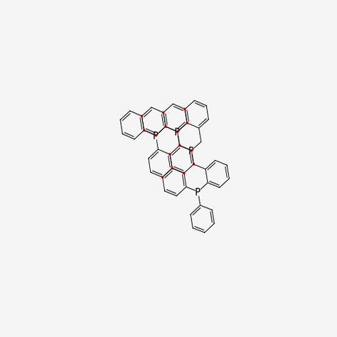 c1ccc(P(c2ccccc2)c2ccccc2CP(Cc2ccccc2P(c2ccccc2)c2ccccc2)Cc2ccccc2P(c2ccccc2)c2ccccc2)cc1